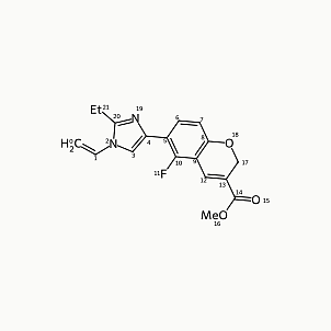 C=Cn1cc(-c2ccc3c(c2F)C=C(C(=O)OC)CO3)nc1CC